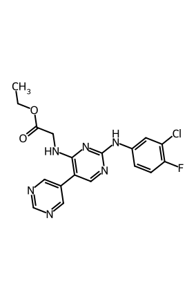 CCOC(=O)CNc1nc(Nc2ccc(F)c(Cl)c2)ncc1-c1cncnc1